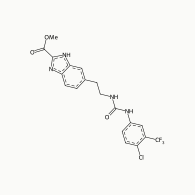 COC(=O)c1nc2ccc(CCNC(=O)Nc3ccc(Cl)c(C(F)(F)F)c3)cc2[nH]1